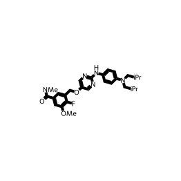 CNC(=O)c1cc(COc2cnc(Nc3ccc(N(CC(C)C)CC(C)C)cc3)nc2)c(F)c(OC)c1